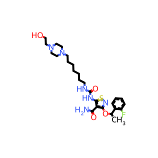 CC(Oc1nsc(NC(=O)NCCCCCCCN2CCN(CCO)CC2)c1C(N)=O)c1ccccc1F